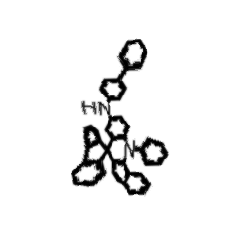 c1ccc(-c2ccc(Nc3ccc4c(c3)C3(c5ccccc5-c5ccccc53)c3ccc5ccccc5c3N4c3ccccc3)cc2)cc1